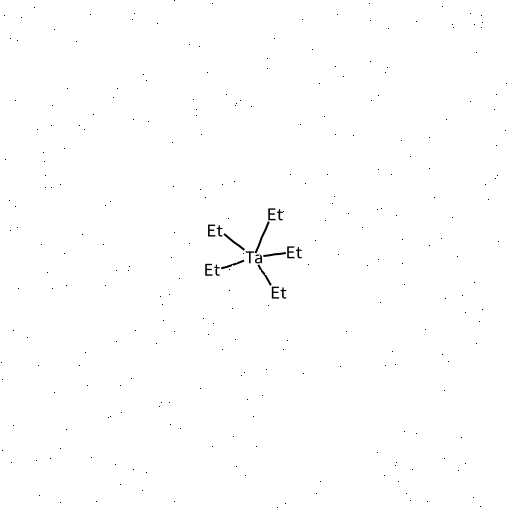 C[CH2][Ta]([CH2]C)([CH2]C)([CH2]C)[CH2]C